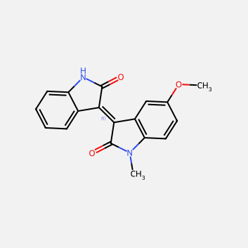 COc1ccc2c(c1)/C(=C1\C(=O)Nc3ccccc31)C(=O)N2C